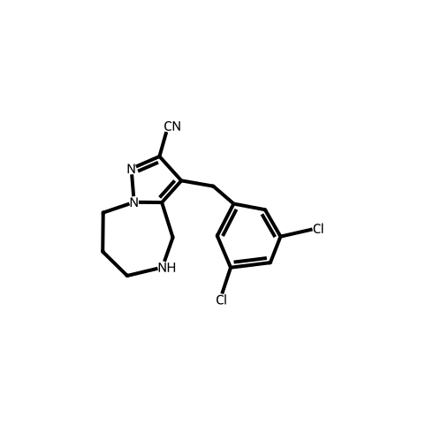 N#Cc1nn2c(c1Cc1cc(Cl)cc(Cl)c1)CNCCC2